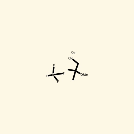 F[B-](F)(F)F.[C-]#[N+]CC(C)(C)OC.[Cu+]